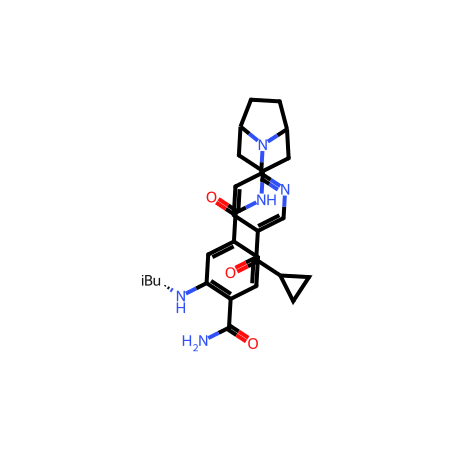 CC[C@@H](C)Nc1cc(C(=O)NC2CC3CCC(C2)N3c2ccc(C(=O)C3CC3)cn2)ccc1C(N)=O